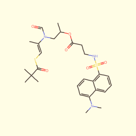 CC(=CSC(=O)C(C)(C)C)N(C=O)CC(C)OC(=O)CCNS(=O)(=O)c1cccc2c(N(C)C)cccc12